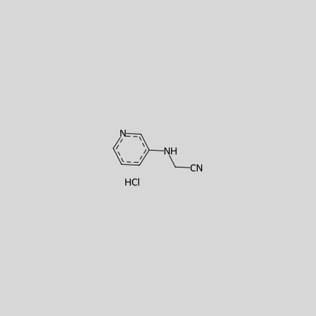 Cl.N#CCNc1cccnc1